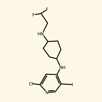 FC(F)CNC1CCC(Nc2cc(Cl)ncc2I)CC1